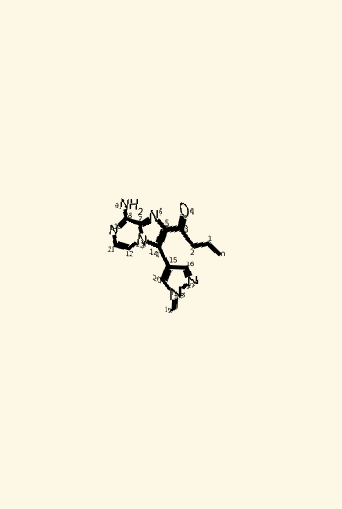 CCCC(=O)c1nc2c(N)nccn2c1-c1cnn(C)c1